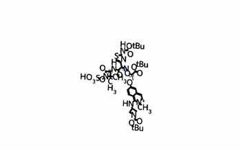 C[n+]1ccc2cc(OC[C@H](O/N=C(\C(=O)N[C@@H]3C(=O)N(OS(=O)(=O)O)C3(C)C)c3csc(NC(=O)OC(C)(C)C)n3)C(=O)OC(C)(C)C)ccc2c1NC1CN(C(=O)OC(C)(C)C)C1